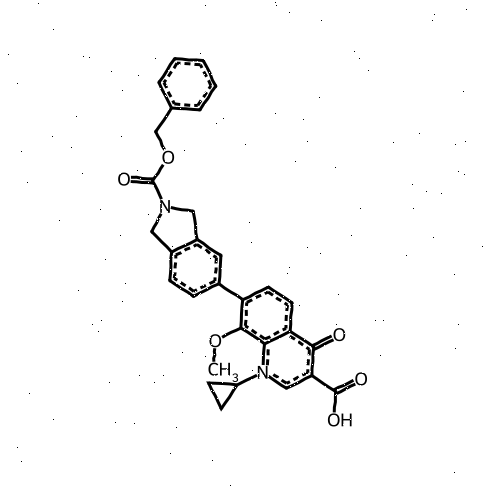 COc1c(-c2ccc3c(c2)CN(C(=O)OCc2ccccc2)C3)ccc2c(=O)c(C(=O)O)cn(C3CC3)c12